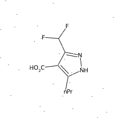 CCCc1[nH]nc(C(F)F)c1C(=O)O